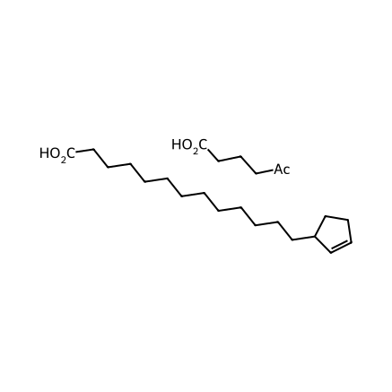 CC(=O)CCCC(=O)O.O=C(O)CCCCCCCCCCCCC1C=CCC1